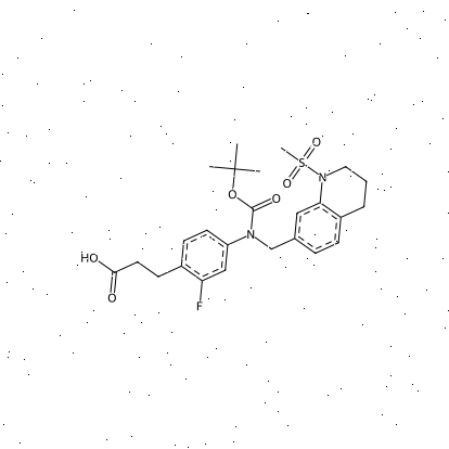 CC(C)(C)OC(=O)N(Cc1ccc2c(c1)N(S(C)(=O)=O)CCC2)c1ccc(CCC(=O)O)c(F)c1